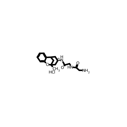 CC12CC(C[C@@H](NC(=O)CNC(=O)CN)C1)c1ccccc1O2.Cl